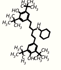 CC(C)(C)c1cc(CCC(CCc2cc(C(C)(C)C)c(O)c(C(C)(C)C)c2)NC2CCCCC2)cc(C(C)(C)C)c1O